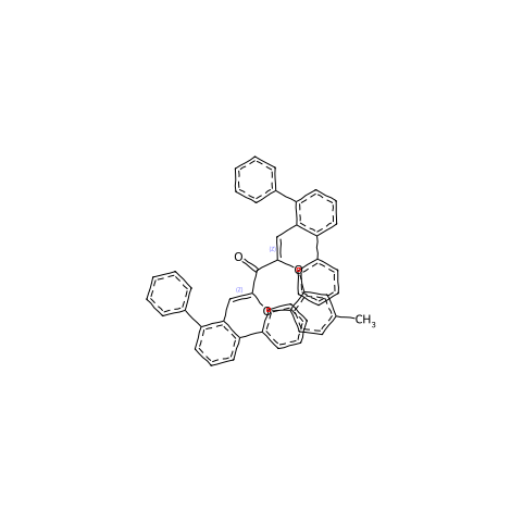 Cc1ccc2c(c1)O/C(=C\c1c(-c3ccccc3)cccc1-c1ccccc1)C(=O)/C(=C/c1c(-c3ccccc3)cccc1-c1ccccc1)O2